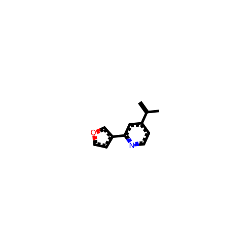 C=C(C)c1ccnc(-c2ccoc2)c1